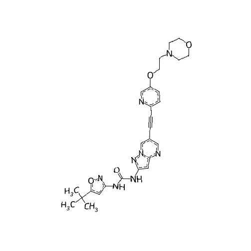 CC(C)(C)c1cc(NC(=O)Nc2cc3ncc(C#Cc4ccc(OCCN5CCOCC5)cn4)cn3n2)no1